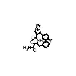 CC(C)n1cc(C(=O)NC(Cc2ccccc2)C(=O)C(N)=O)c(-c2ccc(F)cc2)n1